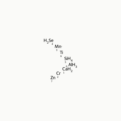 [AlH3].[CaH2].[Cr].[Mn].[SeH2].[SiH4].[Ti].[Zn]